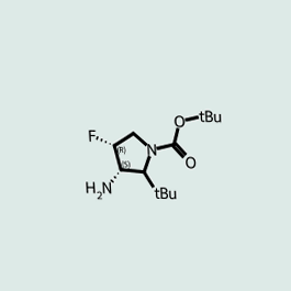 CC(C)(C)OC(=O)N1C[C@@H](F)[C@@H](N)C1C(C)(C)C